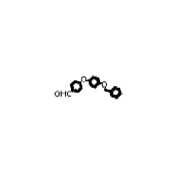 O=[C]c1ccc(Oc2ccc(OCc3ccccc3)cc2)cc1